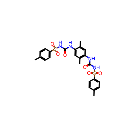 Cc1ccc(S(=O)(=O)NC(=O)Nc2cc(C)c(NC(=O)NS(=O)(=O)c3ccc(C)cc3)cc2C)cc1